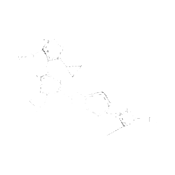 COc1ncnc(C2CC2)c1-c1nc2c(c(NCc3ccc(-n4nc(C(F)(F)F)cc4C)cc3)n1)COC2